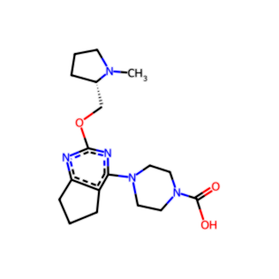 CN1CCC[C@H]1COc1nc2c(c(N3CCN(C(=O)O)CC3)n1)CCC2